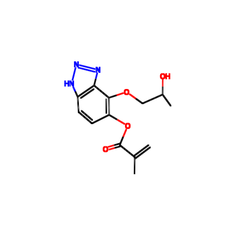 C=C(C)C(=O)Oc1ccc2[nH]nnc2c1OCC(C)O